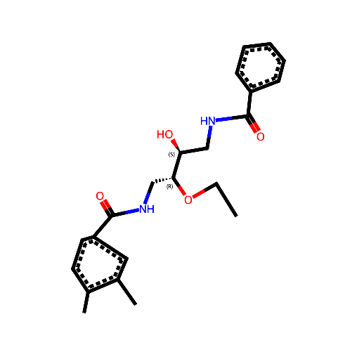 CCO[C@H](CNC(=O)c1ccc(C)c(C)c1)[C@@H](O)CNC(=O)c1ccccc1